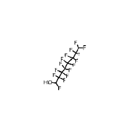 OC(F)C(F)(F)C(F)(F)C(F)(F)C(F)(F)C(F)(F)C(F)(F)C(F)F